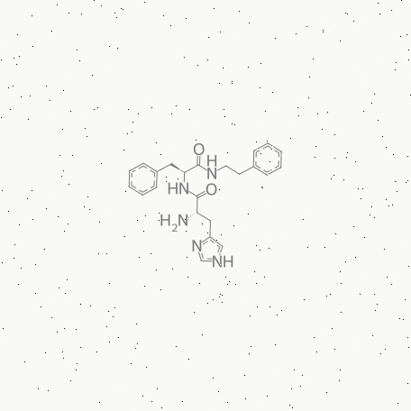 N[C@@H](Cc1c[nH]cn1)C(=O)N[C@@H](Cc1ccccc1)C(=O)NCCc1ccccc1